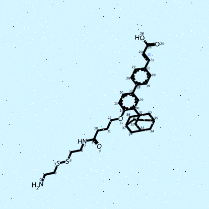 NCCSSCCNC(=O)CCCOc1ccc(-c2ccc(/C=C/C(=O)O)cc2)cc1C12CC3CC(CC(C3)C1)C2